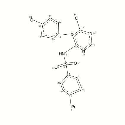 CC(C)c1ccc(S(=O)(=O)Nc2ncnc(Cl)c2-c2ccc(Cl)cc2)cc1